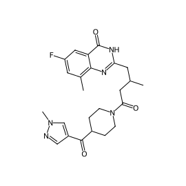 Cc1cc(F)cc2c(=O)[nH]c(CC(C)CC(=O)N3CCC(C(=O)c4cnn(C)c4)CC3)nc12